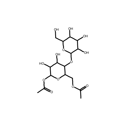 CC(=O)OCC1OC(OC(C)=O)C(O)C(O)C1OC1OC(CO)C(O)C(O)C1O